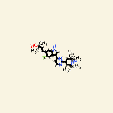 CC(C)(O)C=Cc1cc2[nH]cc(-c3ccnc(C4CC(C)(C)NC(C)(C)C4)n3)c2cc1F